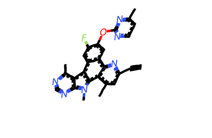 C#Cc1cc(C)c2c(n1)c1cc(Oc3nccc(C)n3)c(F)cc1c1c3c(C)ncnc3n(C)c21